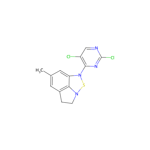 Cc1cc2c3c(c1)N(c1nc(Cl)ncc1Cl)SN3CC2